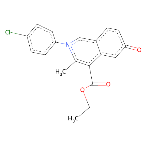 CCOC(=O)c1c2cc(=O)ccc-2cn(-c2ccc(Cl)cc2)c1C